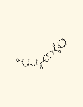 COc1ccc(CNC(=O)N2CC3=C(C2)CN(S(=O)(=O)c2cccnc2)C3)cc1